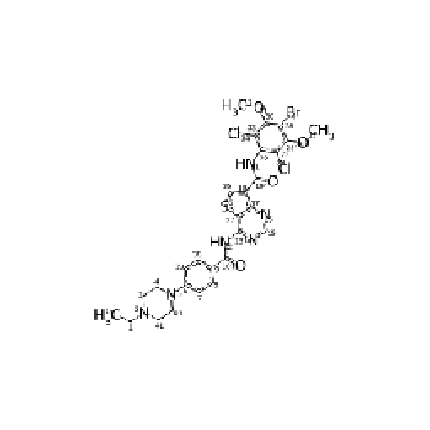 CCN1CCN(c2ccc(C(=O)Nc3ncnc4c(C(=O)Nc5c(Cl)c(OC)c(Br)c(OC)c5Cl)csc34)cc2)CC1